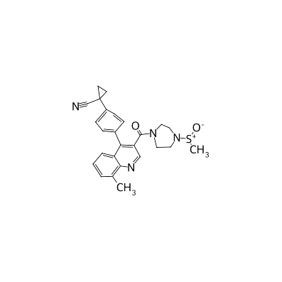 Cc1cccc2c(-c3ccc(C4(C#N)CC4)cc3)c(C(=O)N3CCN([S+](C)[O-])CC3)cnc12